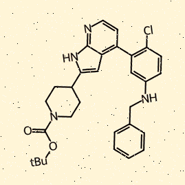 CC(C)(C)OC(=O)N1CCC(c2cc3c(-c4cc(NCc5ccccc5)ccc4Cl)ccnc3[nH]2)CC1